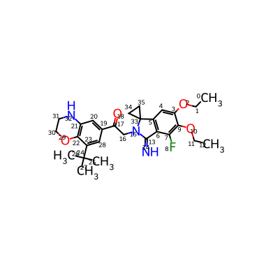 CCOc1cc2c(c(F)c1OCC)C(=N)N(CC(=O)c1cc3c(c(C(C)(C)C)c1)OCCN3)C21CC1